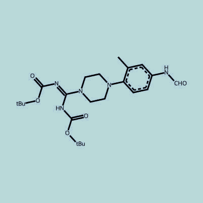 Cc1cc(NC=O)ccc1N1CCN(C(=NC(=O)OC(C)(C)C)NC(=O)OC(C)(C)C)CC1